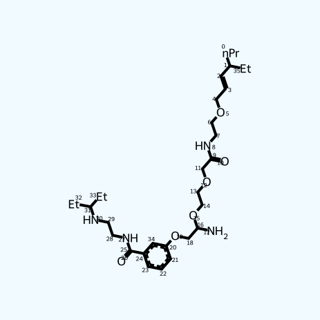 CCCC(/C=C/COCCNC(=O)COCCOC(N)COc1cccc(C(=O)NCCNC(CC)CC)c1)CC